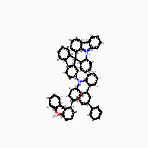 c1ccc(-c2cccc(-c3ccccc3N(c3ccc(-c4cccc5oc6ccccc6c45)cc3)c3ccc4c(c3)C3(c5ccccc5-4)c4ccccc4-n4c5ccccc5c5cccc3c54)c2)cc1